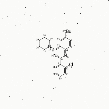 CC(C)(C)c1ccc2nc(-c3ccccc3Cl)nc(N3CCCCC3)c2c1